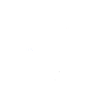 CCc1c(O[Si](C)(C)C(C)(C)C)cc(N)cc1C(=O)OC